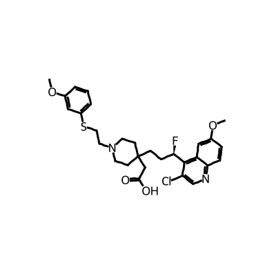 COc1cccc(SCCN2CCC(CC[C@@H](F)c3c(Cl)cnc4ccc(OC)cc34)(CC(=O)O)CC2)c1